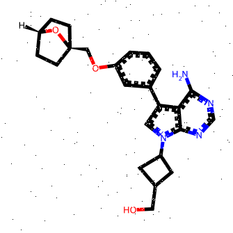 Nc1ncnc2c1c(-c1cccc(OC[C@]34CC[C@H](CC3)O4)c1)cn2C1CC(CO)C1